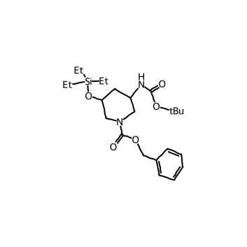 CC[Si](CC)(CC)OC1CC(NC(=O)OC(C)(C)C)CN(C(=O)OCc2ccccc2)C1